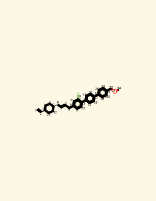 C=C[C@H]1CC[C@H](CC=CCc2ccc(-c3ccc(-c4ccc(COC)cc4)cc3)c(F)c2)CC1